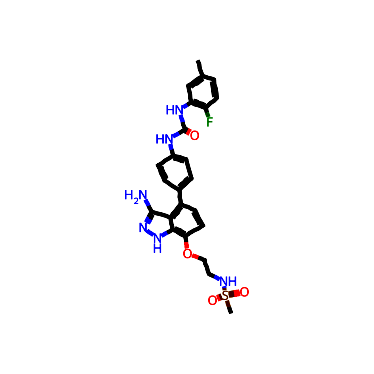 Cc1ccc(F)c(NC(=O)Nc2ccc(-c3ccc(OCCNS(C)(=O)=O)c4[nH]nc(N)c34)cc2)c1